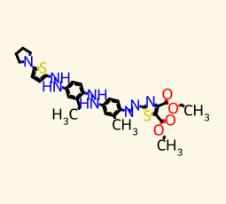 CCOC(=O)c1nc(/N=N/c2ccc(NNc3ccc(NNc4ccc(N5CCCC5)s4)cc3CC)cc2C)sc1C(=O)OCC